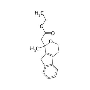 CCOC(=O)CC1(C)OCCC2=C1Cc1ccccc12